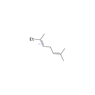 [CH2]C/C(C)=C/CC=C(C)C